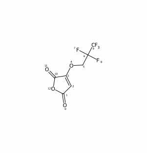 O=C1C=C(OCC(F)(F)C(F)(F)F)C(=O)O1